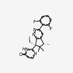 C[C@H]1c2cc(-c3c(F)cccc3F)nnc2[C@](CI)(c2nccc(=O)[nH]2)C1(C)C